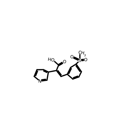 CS(=O)(=O)c1cccc(C=C(C(=O)O)c2cccnc2)c1